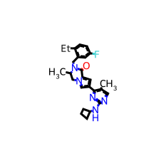 CCc1ccc(F)cc1CN1C(=O)c2cc(-c3nc(NC4CCC4)ncc3C)cn2CC1C